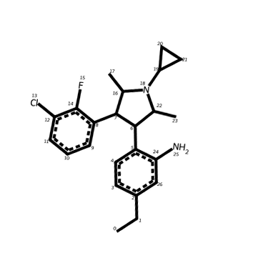 CCc1ccc(C2C(c3cccc(Cl)c3F)C(C)N(C3CC3)C2C)c(N)c1